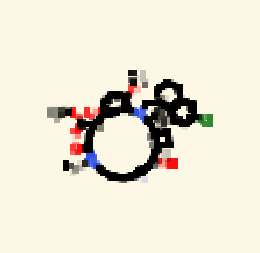 COC(=O)[C@]1(O)CC(=O)N(C)CCC/C=C\[C@H](O)[C@@H]2CC[C@H]2CN(C[C@]2(C)CCCc3cc(Cl)ccc32)c2cc1ccc2OC